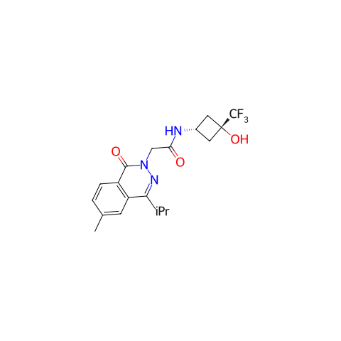 Cc1ccc2c(=O)n(CC(=O)N[C@H]3C[C@](O)(C(F)(F)F)C3)nc(C(C)C)c2c1